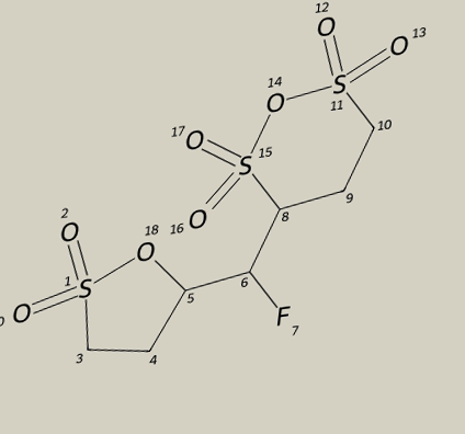 O=S1(=O)CCC(C(F)C2CCS(=O)(=O)OS2(=O)=O)O1